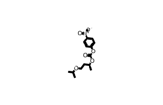 CC(C)OCCC(C)OC(=O)Oc1ccc([N+](=O)[O-])cc1